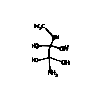 CNC(O)(O)C(N)(O)O